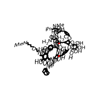 CNCCCCCOCCNCc1c(O)cc2c(c1O)-c1cc(ccc1O)[C@H]1NC(=O)[C@@H]3NC(=O)[C@H](CC(N)=O)NC(=O)[C@H](NC(=O)[C@@H](CC(C)C)NC)[C@H](O)c4ccc(c(C)c4)Oc4cc3cc(c4O[C@@H]3O[C@H](CO)[C@@H](O)[C@H](O)[C@H]3O)Oc3ccc(cc3Cl)[C@@H](O)[C@H](NC1=O)C(=O)N[C@@H]2C(=O)NC1C2CC3CC(C2)CC1C3